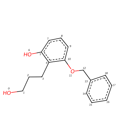 OCCCc1c(O)cccc1OCc1ccccc1